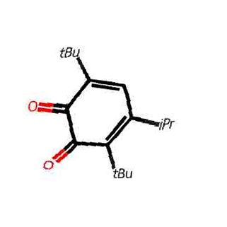 CC(C)C1=C(C(C)(C)C)C(=O)C(=O)C(C(C)(C)C)=C1